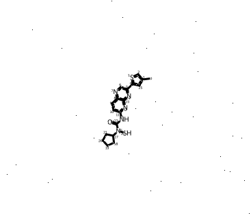 Cc1csc(-c2cnc3ccc(NC(=O)N(S)C4CCCC4)nc3n2)c1